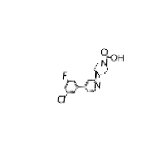 O=C(O)N1CCN(c2cc(-c3cc(F)cc(Cl)c3)ccn2)CC1